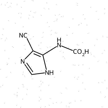 N#Cc1nc[nH]c1NC(=O)O